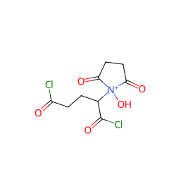 O=C(Cl)CCC(C(=O)Cl)[N+]1(O)C(=O)CCC1=O